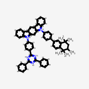 CC1CC(C)(C)c2cc(-c3ccc(-n4c5ccccc5c5cc6c7ccccc7n(-c7ccc(-c8nc(-c9ccccc9)nc(-c9ccccc9)n8)cc7)c6cc54)cc3)ccc2C1(C)C